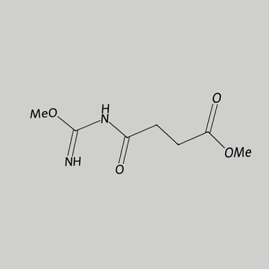 COC(=N)NC(=O)CCC(=O)OC